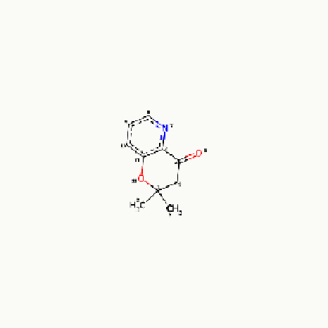 CC1(C)CC(=O)c2ncccc2O1